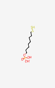 O=P(O)(O)OCCCCCCCCSS